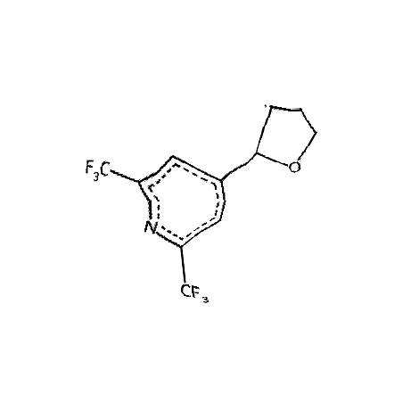 FC(F)(F)c1cc(C2[CH]CCO2)cc(C(F)(F)F)n1